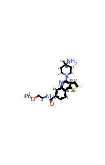 CC(C)OCCNC(=O)c1ccc2c(c1)nc(N1CCC(C)(N)CC1)c1ccsc12